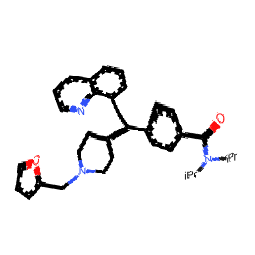 CC(C)N(C(=O)c1ccc(C(=C2CCN(Cc3ccco3)CC2)c2cccc3cccnc23)cc1)C(C)C